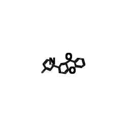 Cc1ccnc(-c2ccc3oc4ccccc4c(=O)c3c2)c1